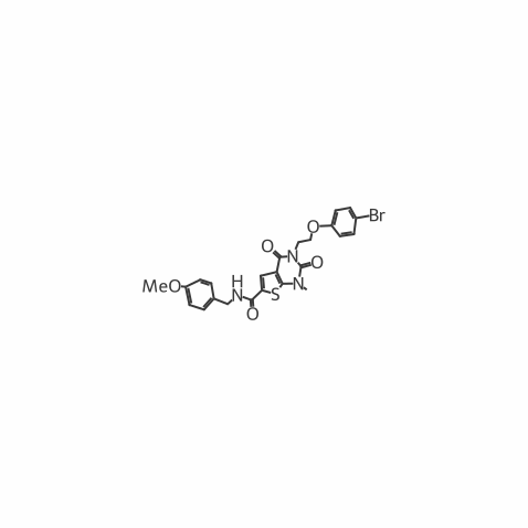 COc1ccc(CNC(=O)c2cc3c(=O)n(CCOc4ccc(Br)cc4)c(=O)n(C)c3s2)cc1